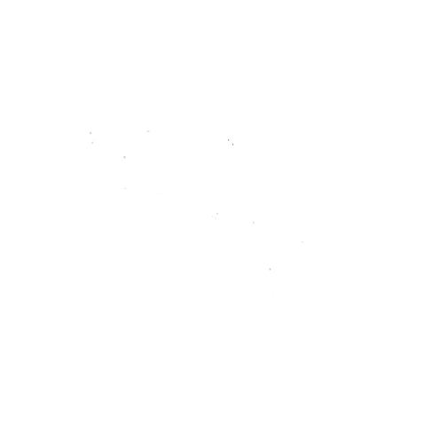 CC(N)C(C(=O)CCc1ccccc1)c1ccc(Br)cc1